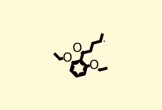 C[CH]CCC(=O)c1c(OCC)cccc1OCC